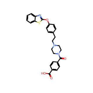 O=C(O)c1ccc(C(=O)N2CCN(CCc3ccc(Oc4nc5ccccc5s4)cc3)CC2)cc1